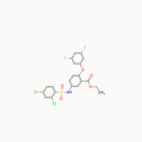 CCOC(=O)c1cc(NS(=O)(=O)c2ccc(Cl)cc2Cl)ccc1Oc1cc(F)cc(F)c1